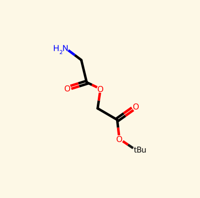 CC(C)(C)OC(=O)COC(=O)CN